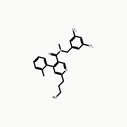 Cc1ccccc1-c1cc(CCCC(C)(C)C)ncc1C(=O)N(C)Cc1cc(C(F)(F)F)cc(C(F)(F)F)c1